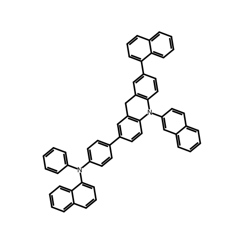 c1ccc(N(c2ccc(-c3ccc4c(c3)Cc3cc(-c5cccc6ccccc56)ccc3N4c3ccc4ccccc4c3)cc2)c2cccc3ccccc23)cc1